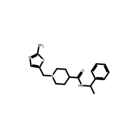 CC(NC(=O)C1CCN(Cc2cnc(N)s2)CC1)c1ccccc1